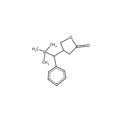 C[Si](C)(C)N(c1ccccc1)C1COC(=O)C1